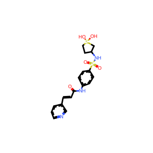 O=C(C=Cc1cccnc1)Nc1ccc(S(=O)(=O)NC2CCS(O)(O)C2)cc1